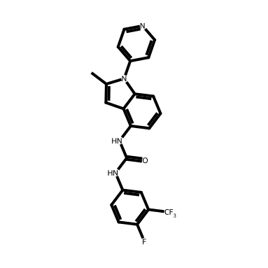 Cc1cc2c(NC(=O)Nc3ccc(F)c(C(F)(F)F)c3)cccc2n1-c1ccncc1